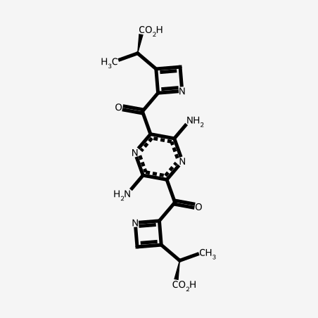 C[C@@H](C(=O)O)C1=CN=C1C(=O)c1nc(N)c(C(=O)C2=NC=C2[C@@H](C)C(=O)O)nc1N